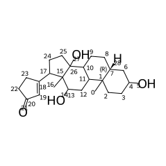 CC12CCC(O)C[C@H]1CCC1C2CC(O)C2(C)C(C3=CC(=O)CC3)CCC12O